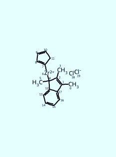 CC1=C(C)[C](C)([Zr+2][C]2=CC=CC2)c2ccccc21.[Cl-].[Cl-]